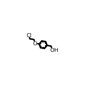 OCc1ccc(OCCCl)cc1